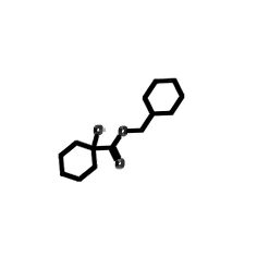 [O]C1(C(=O)OCC2CCCCC2)CCCCC1